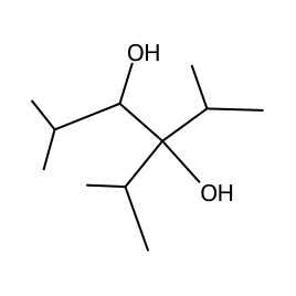 CC(C)C(O)C(O)(C(C)C)C(C)C